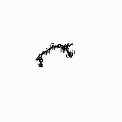 CCCSc1nc(NCCNC(=O)OC(C)(C)C)c2nnn(Cc3ccc(C#CC(=O)NCCOCCNCc4ccc5c(c4)c4ccc(-c6cc(C)cs6)cc4n5CC)cc3)c2n1